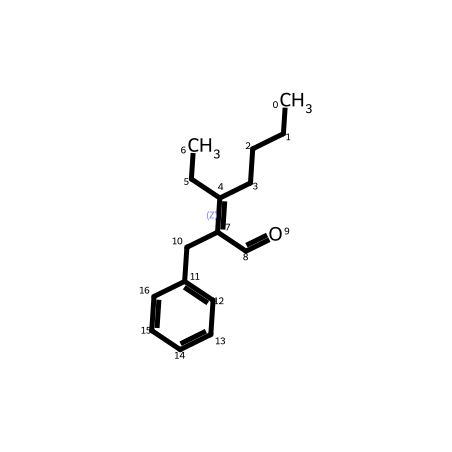 CCCC/C(CC)=C(\C=O)Cc1ccccc1